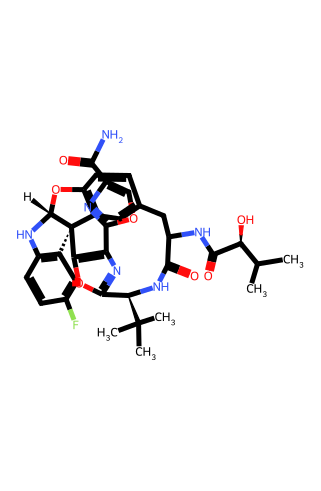 CC(C)[C@H](O)C(=O)NC1Cc2ccc3c(c2)[C@@]2(c4cc(F)ccc4N[C@@H]2O3)c2oc(nc2-c2nc(C(N)=O)co2)[C@H](C(C)(C)C)NC1=O